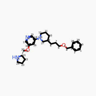 c1ccc(COCCCC2CCCN(c3cncc(OC[C@@H]4CCCN4)c3)C2)cc1